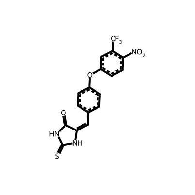 O=C1NC(=S)N/C1=C/c1ccc(Oc2ccc([N+](=O)[O-])c(C(F)(F)F)c2)cc1